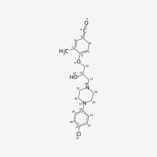 CC1=CC(=C=O)CC=C1OCC(O)CN1CCN(c2ccc(Cl)cc2)CC1